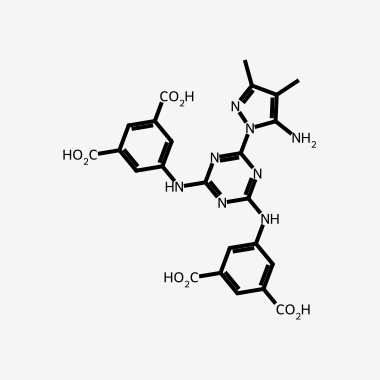 Cc1nn(-c2nc(Nc3cc(C(=O)O)cc(C(=O)O)c3)nc(Nc3cc(C(=O)O)cc(C(=O)O)c3)n2)c(N)c1C